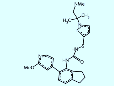 CNCC(C)(C)n1ccc(SNC(=O)Nc2c(-c3ccnc(OC)c3)ccc3c2CCC3)n1